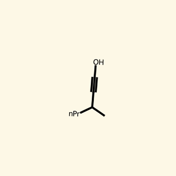 CCCC(C)C#CO